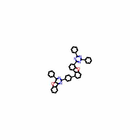 c1ccc(-c2nc(-c3ccccc3)nc(-c3cccc4c3oc3cccc(-c5ccc(-c6nc(-c7ccccc7)c7oc8ccccc8c7n6)cc5)c34)n2)cc1